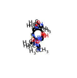 CCn1c(-c2cccnc2[C@H](C)OC)c2c3cc(ccc31)-c1csc(n1)C[C@H](NC(=O)[C@H](C(C)C)N(C)C(=O)N1CC[C@H](N(C)C)C1)C(=O)N1CCC[C@@](O)(N1)C(=O)OCC(C)(C)C2